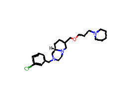 Clc1cccc(CN2CCN3CC(COCCCN4CCCCC4)CC[C@H]3C2)c1